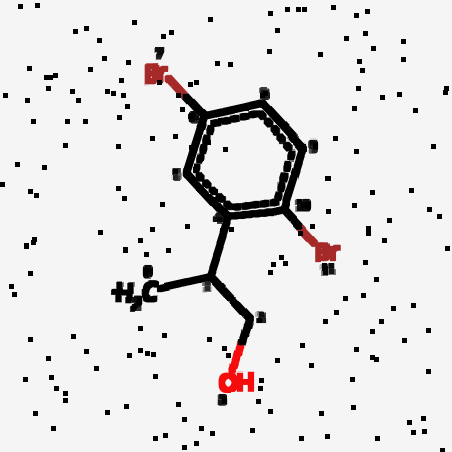 [CH2]C(CO)c1cc(Br)ccc1Br